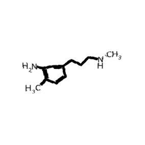 CNCCCc1ccc(C)c(N)c1